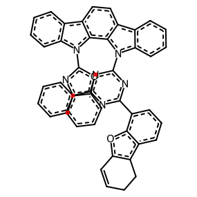 C1=Cc2oc3c(-c4nc(-c5ccccc5)nc(-n5c6ccccc6c6ccc7c8ccccc8n(-c8nc9ccccc9o8)c7c65)n4)cccc3c2CC1